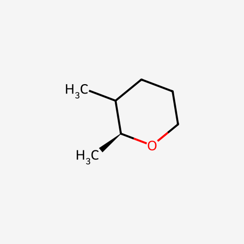 CC1CCCO[C@H]1C